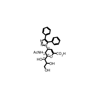 CC(=O)N[C@H]1[C@H]([C@H](O)C(O)CO)OC(C(=O)O)=C[C@@H]1n1nnc(-c2ccccc2)c1-c1ccccc1